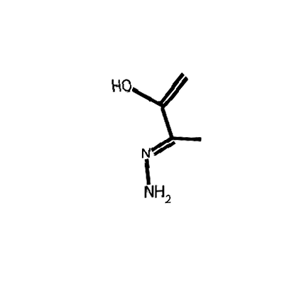 C=C(O)/C(C)=N/N